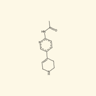 CC(=O)Nc1ccc(C2=CCNCC2)cn1